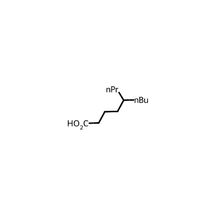 CCCCC(CCC)CCCC(=O)O